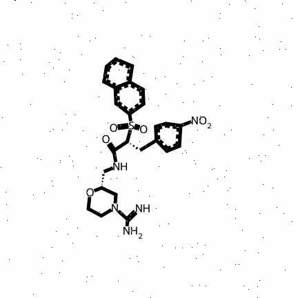 N=C(N)N1CCO[C@H](CNC(=O)[C@@H](Cc2ccc([N+](=O)[O-])cc2)S(=O)(=O)c2ccc3ccccc3c2)C1